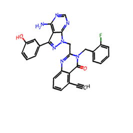 C#Cc1cccc2nc(Cn3nc(-c4cccc(O)c4)c4c(N)ncnc43)n(Cc3ccccc3F)c(=O)c12